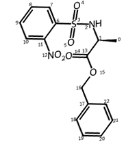 C[C@H](NS(=O)(=O)c1ccccc1[N+](=O)[O-])C(=O)OCc1ccccc1